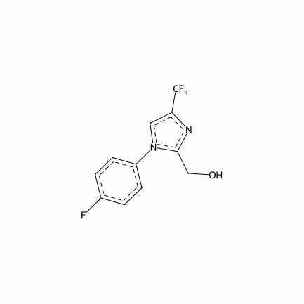 OCc1nc(C(F)(F)F)cn1-c1ccc(F)cc1